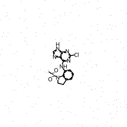 CS(=O)(=O)N1CCc2cccc(Nc3nc(Cl)nc4[nH]cnc34)c21